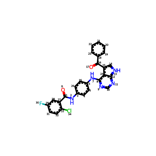 O=C(Nc1ccc(Nc2ncnc3[nH]cc(C(=O)c4ccccc4)c23)cc1)c1cc(F)ccc1Cl